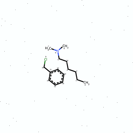 CCCCCCN(C)C.ClCc1ccccc1